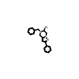 CC(C)C1Cn2nc(-c3ccccc3)cc2CN1Cc1ccccc1